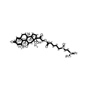 CC1=CC(=O)C=C2CC[C@@H]3[C@H](C(O)C[C@@]4(C)[C@H]3CC[C@]4(O)C(=O)COC(=O)CCCC[S+]([O-])CCN(C(C)C)C(C)C)[C@@]12C